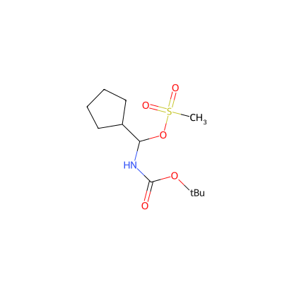 CC(C)(C)OC(=O)NC(OS(C)(=O)=O)C1CCCC1